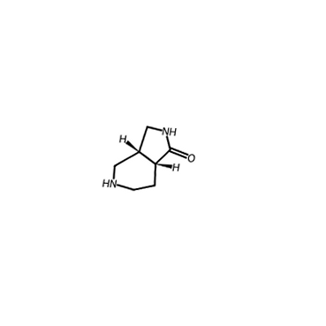 O=C1NC[C@H]2CNCC[C@@H]12